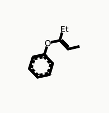 CC=C(CC)Oc1c[c]ccc1